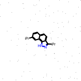 CC(C)c1ccc2ccc3c(C(C)C)n[nH]c3c2c1